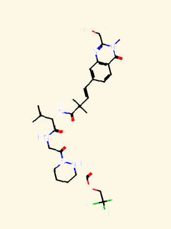 CC(C)[C@H](NC(=O)C(C)(C)/C=C/c1ccc2c(=O)n(C)c([C@@H](C)O)nc2c1)C(=O)N[C@@H](C)C(=O)N1CCC[C@@H](C(=O)OCC(Cl)(Cl)Cl)N1